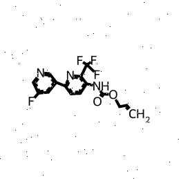 C=CCOC(=O)Nc1ccc(-c2cncc(F)c2)nc1C(F)(F)F